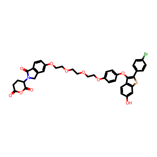 O=C1CCC(N2Cc3cc(OCCOCCOCCOc4ccc(Oc5c(-c6ccc(Br)cc6)sc6cc(O)ccc56)cc4)ccc3C2=O)C(=O)O1